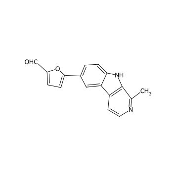 Cc1nccc2c1[nH]c1ccc(-c3ccc(C=O)o3)cc12